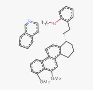 COc1cccc2c1c(OC)cc1c3c(ccc12)[C@H](CCc1ccccc1OC(F)(F)F)CCC3.c1ccc2cnccc2c1